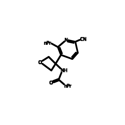 CCCC(=O)NC1(c2ccc(C#N)nc2CCC)COC1